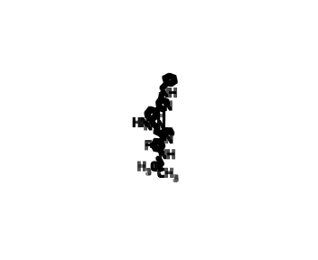 CN(C)CCNc1cc(F)cc(-c2nccc3[nH]c(-c4n[nH]c5ccc(-c6cncc(CNCc7ccccc7)c6)cc45)cc23)c1